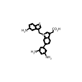 Nc1cc(N)cc(-c2ccc3c(CC(=O)O)cn(Cc4csc5ccc(N)cc45)c3c2)c1